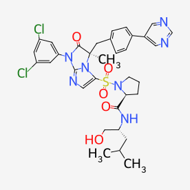 CC(C)C[C@H](CO)NC(=O)[C@@H]1CCCN1S(=O)(=O)c1cnc2n1[C@](C)(Cc1ccc(-c3cncnc3)cc1)C(=O)N2c1cc(Cl)cc(Cl)c1